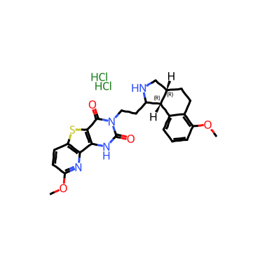 COc1ccc2sc3c(=O)n(CCC4NC[C@@H]5CCc6c(OC)cccc6[C@H]45)c(=O)[nH]c3c2n1.Cl.Cl